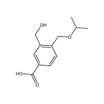 CC(C)OCc1ccc(C(=O)O)cc1CO